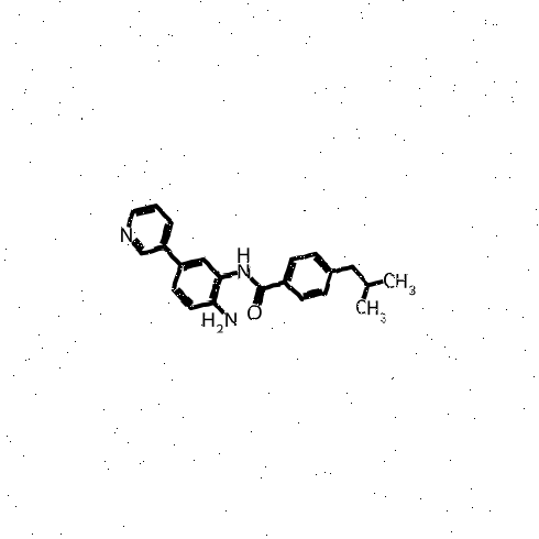 CC(C)Cc1ccc(C(=O)Nc2cc(-c3cccnc3)ccc2N)cc1